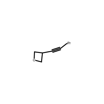 CC(C)C#CC1COC1